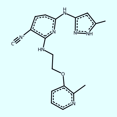 [C-]#[N+]c1ccc(Nc2cc(C)[nH]n2)nc1NCCOc1cccnc1C